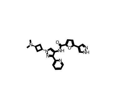 CN(C)[C@H]1C[C@H](n2cc(NC(=O)c3ccc(-c4cn[nH]c4)o3)c(-c3ccccn3)n2)C1